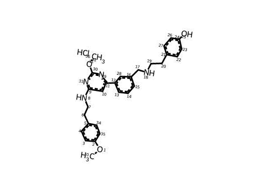 COc1ccc(CCNc2cc(-c3cccc(CNCCc4ccc(O)cc4)c3)nc(OC)n2)cc1.Cl